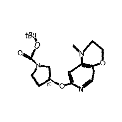 CN1CCOc2cnc(O[C@H]3CCN(C(=O)OC(C)(C)C)C3)cc21